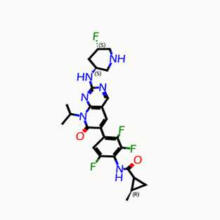 CC(C)n1c(=O)c(-c2cc(F)c(NC(=O)C3C[C@H]3C)c(F)c2F)cc2cnc(N[C@@H]3CNC[C@@H](F)C3)nc21